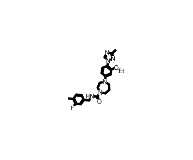 CCOc1cc(N2CCCN(C(=O)NCc3ccc(C)c(F)c3)CC2)ccc1-n1cnc(C)n1